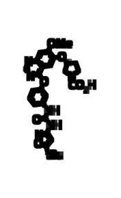 COc1cc2ncnc(Oc3cccc(NC(=O)Nc4cc(C(C)(C)C)on4)c3)c2cc1O[C@H]1CCN(C(=O)O)C1